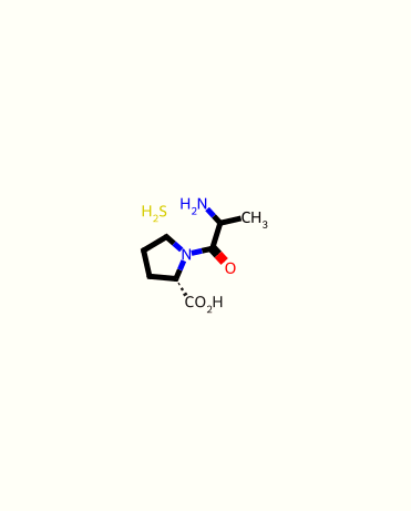 CC(N)C(=O)N1CCC[C@H]1C(=O)O.S